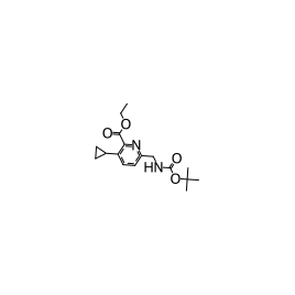 CCOC(=O)c1nc(CNC(=O)OC(C)(C)C)ccc1C1CC1